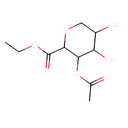 CCOC(=O)C1OCC(O)C(O)C1OC(C)=O